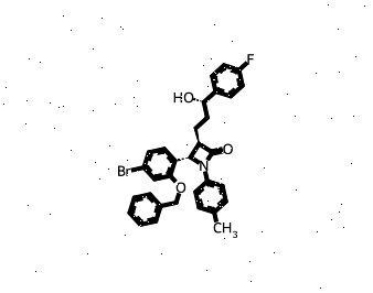 Cc1ccc(N2C(=O)[C@H](CC[C@H](O)c3ccc(F)cc3)[C@H]2c2ccc(Br)cc2OCc2ccccc2)cc1